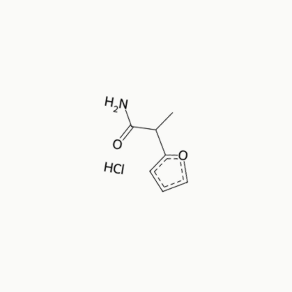 CC(C(N)=O)c1ccco1.Cl